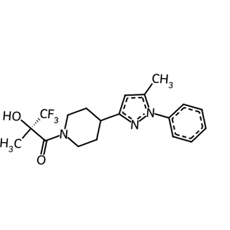 Cc1cc(C2CCN(C(=O)[C@@](C)(O)C(F)(F)F)CC2)nn1-c1ccccc1